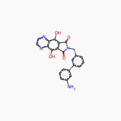 Nc1cccc(-c2cccc(CN3C(=O)c4c(c(O)c5nccnc5c4O)C3=O)c2)c1